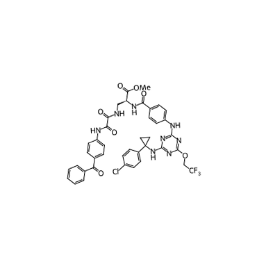 COC(=O)[C@H](CNC(=O)C(=O)Nc1ccc(C(=O)c2ccccc2)cc1)NC(=O)c1ccc(Nc2nc(NC3(c4ccc(Cl)cc4)CC3)nc(OCC(F)(F)F)n2)cc1